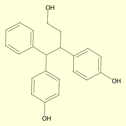 OCCC(c1ccc(O)cc1)C(c1ccccc1)c1ccc(O)cc1